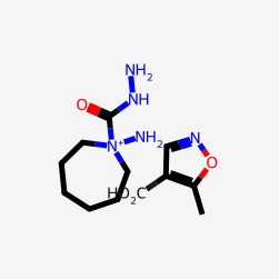 Cc1oncc1C(=O)O.NNC(=O)[N+]1(N)CCCCCC1